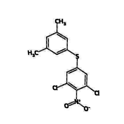 Cc1cc(C)cc(Sc2cc(Cl)c([N+](=O)[O-])c(Cl)c2)c1